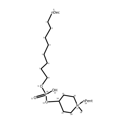 CCCCCCCCCCCCCCCCCCOP(=O)(O)OC1CC[N+](C)(CCCCC)CC1